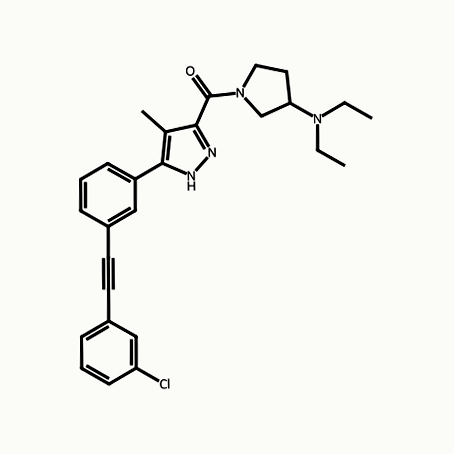 CCN(CC)C1CCN(C(=O)c2n[nH]c(-c3cccc(C#Cc4cccc(Cl)c4)c3)c2C)C1